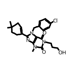 Cn1c(=O)n(CCCO)c(=O)c2c1nc(C1=CCC(C)(C)CC1)n2Cc1ccc(Cl)cc1